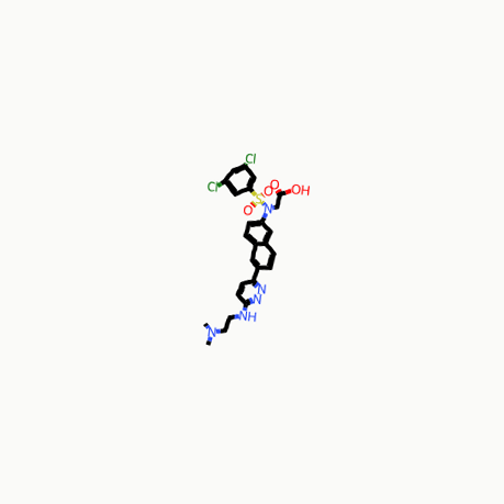 CN(C)CCNc1ccc(-c2ccc3cc(N(CC(=O)O)S(=O)(=O)c4cc(Cl)cc(Cl)c4)ccc3c2)nn1